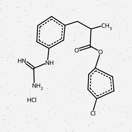 CC(Cc1cccc(NC(=N)N)c1)C(=O)Oc1ccc(Cl)cc1.Cl